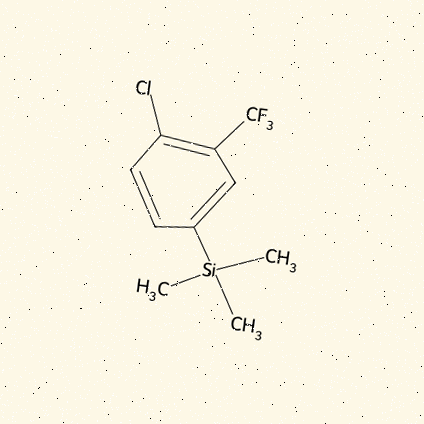 C[Si](C)(C)c1ccc(Cl)c(C(F)(F)F)c1